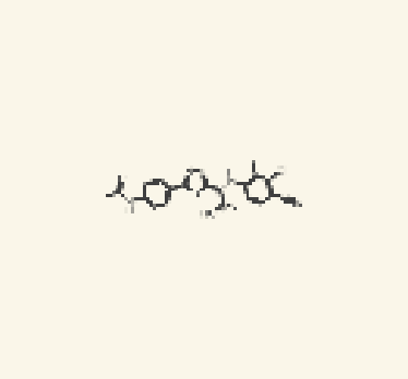 CC(=O)Nc1ccc(-c2nnc([C@H](Nc3ccc(C#N)c(Cl)c3C)[C@@H](C)O)o2)cc1